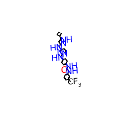 O=C(Nc1ccc(Nc2nccc(Nc3cc(C4CCC4)[nH]n3)n2)cc1)Nc1cccc(C(F)(F)F)c1